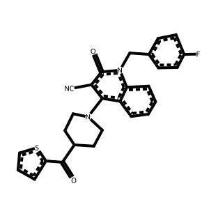 N#Cc1c(N2CCC(C(=O)c3cccs3)CC2)c2ccccc2n(Cc2ccc(F)cc2)c1=O